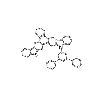 c1ccc(-c2cc(-c3ccccc3)cc(-n3c4ccccc4c4cc5c6ccccc6c6cc7c(cc6c5cc43)sc3ccccc37)c2)cc1